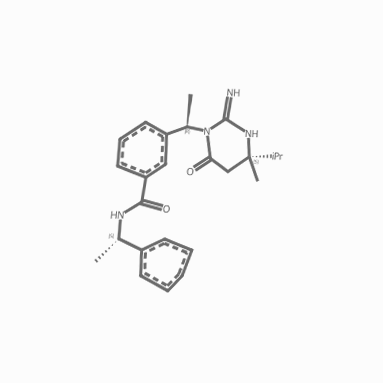 CC(C)[C@]1(C)CC(=O)N([C@H](C)c2cccc(C(=O)N[C@@H](C)c3ccccc3)c2)C(=N)N1